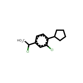 O=C(O)C(Cl)c1ccc(C2CCCC2)c(Cl)c1